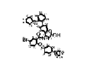 O=C(O)CC(NC(=O)c1cc(Br)ccc1OCc1ccc(-n2cncn2)cc1)c1ccc(-c2ccccc2Oc2ccccc2)cc1